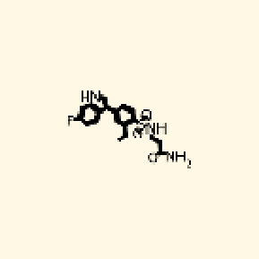 CCc1cc(-c2c[nH]c3cc(F)ccc23)ccc1S(=O)(=O)NCCC(N)=O